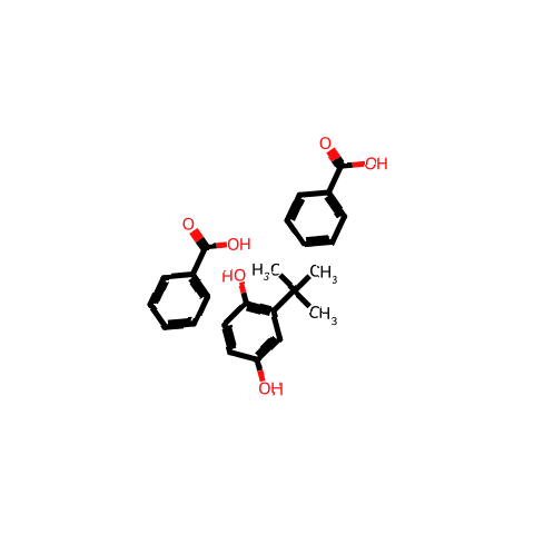 CC(C)(C)c1cc(O)ccc1O.O=C(O)c1ccccc1.O=C(O)c1ccccc1